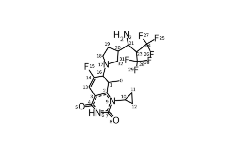 CC1c2c(c(=O)[nH]c(=O)n2C2CC2)C=C(F)C1N1CCC(C(N)C(C(F)(F)F)C(F)(F)F)C1